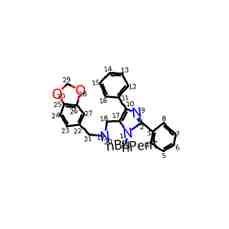 CCCCCn1c(-c2ccccc2)nc(-c2ccccc2)c1CN(CCCC)Cc1ccc2c(c1)OCO2